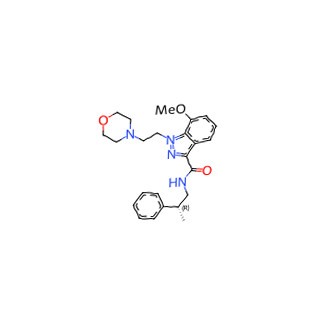 COc1cccc2c(C(=O)NC[C@H](C)c3ccccc3)nn(CCN3CCOCC3)c12